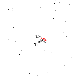 [O]=[Zn].[SiH4].[Ti]